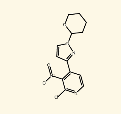 O=[N+]([O-])c1c(-c2ccn(C3CCCCO3)n2)ccnc1Cl